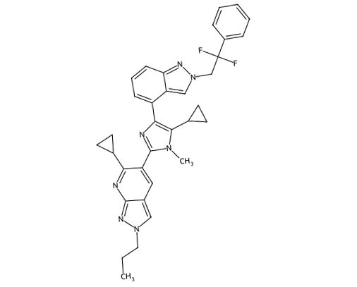 CCCn1cc2cc(-c3nc(-c4cccc5nn(CC(F)(F)c6ccccc6)cc45)c(C4CC4)n3C)c(C3CC3)nc2n1